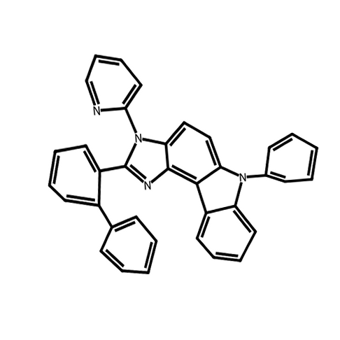 c1ccc(-c2ccccc2-c2nc3c4c5ccccc5n(-c5ccccc5)c4ccc3n2-c2ccccn2)cc1